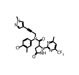 Cc1cc(C(F)(F)F)nc(N2NC(=O)CC2C(=O)N(CC#Cc2cnn(C)c2)c2ccc(Cl)c(C)c2)n1